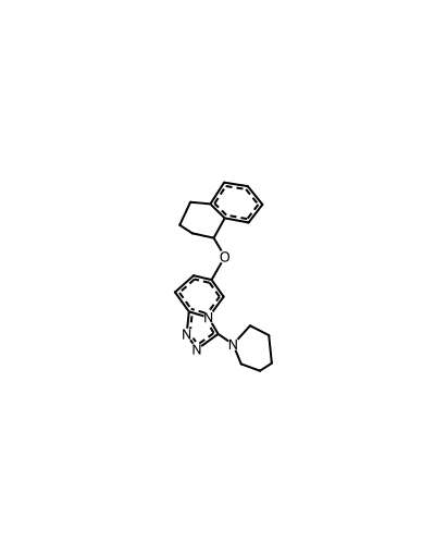 c1ccc2c(c1)CCCC2Oc1ccc2nnc(N3CCCCC3)n2c1